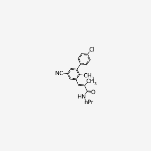 CCCNC(=O)/C(C)=C/c1cc(C#N)cc(-c2ccc(Cl)cc2)c1C